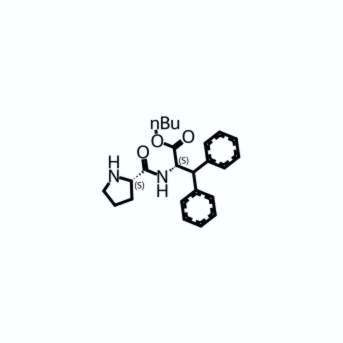 CCCCOC(=O)[C@@H](NC(=O)[C@@H]1CCCN1)C(c1ccccc1)c1ccccc1